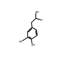 CCC(C)C(CC)Cc1ccc(O)c(O)c1